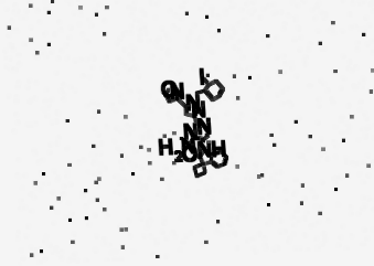 Nc1nc(-c2cc(-c3ccon3)n(CC3=CC=CCC3I)n2)ncc1NC(=O)C1(c2ccccc2)CCC1